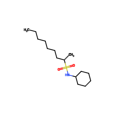 CCCCCCCC(C)S(=O)(=O)NC1CCCCC1